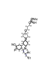 CC/C=C(/C=C(/c1ccc(C#N)c(F)c1)N(C)c1ccc(N2CCC(OCCCON(S)OC)CC2)cc1)C(C)=O